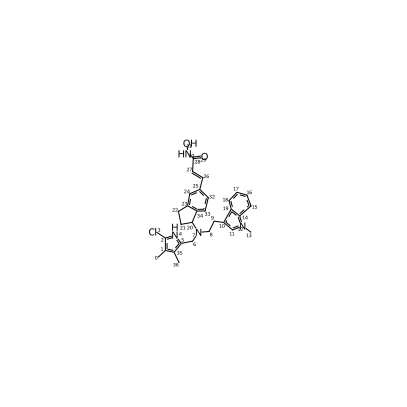 Cc1c(Cl)[nH]c(CN(CCc2cn(C)c3ccccc23)C2CCc3cc(/C=C/C(=O)NO)ccc32)c1C